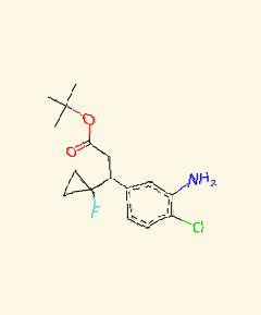 CC(C)(C)OC(=O)CC(c1ccc(Cl)c(N)c1)C1(F)CC1